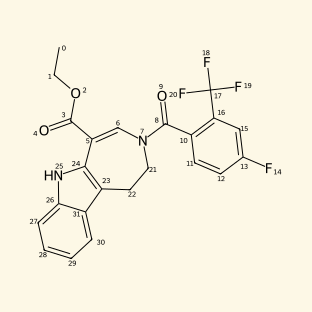 CCOC(=O)C1=CN(C(=O)c2ccc(F)cc2C(F)(F)F)CCc2c1[nH]c1ccccc21